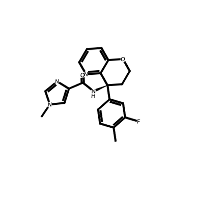 Cc1ccc([C@@]2(NC(=O)c3cn(C)cn3)CCOc3cccnc32)cc1F